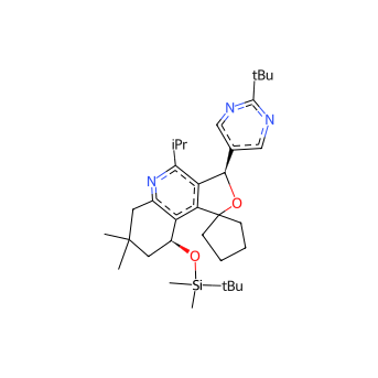 CC(C)c1nc2c(c3c1[C@@H](c1cnc(C(C)(C)C)nc1)OC31CCCC1)[C@@H](O[Si](C)(C)C(C)(C)C)CC(C)(C)C2